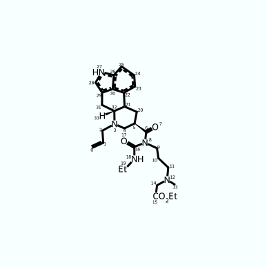 C=CCN1C[C@H](C(=O)N(CCCN(C)CC(=O)OCC)C(=O)NCC)CC2c3cccc4[nH]cc(c34)C[C@H]21